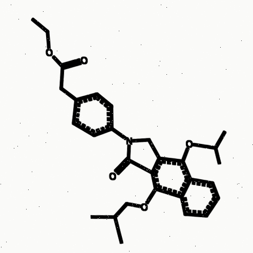 CCOC(=O)Cc1ccc(N2Cc3c(c(OCC(C)C)c4ccccc4c3OC(C)C)C2=O)cc1